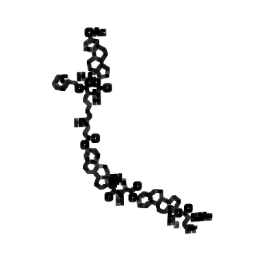 CNC(CC(C)C)C(=O)OC1CCC2C3CCc4cc(OC(=O)C(CC(C)C)NC(=O)OC5CCC6C7CCc8cc(OC(=O)CCNCCCCC(NC(=O)OC9CCC%10C%11CCc%12cc(OC(C)=O)ccc%12C%11CCC9%10C)C(=O)OCc9ccccc9)ccc8C7CCC56C)ccc4C3CCC12C